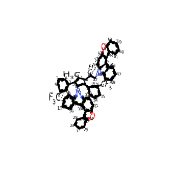 CC1=C(c2cccc(C(F)(F)F)c2)C(n2c3ccccc3c3c4c(ccc32)oc2ccccc24)=C(c2cccc(C(F)(F)F)c2)[C@@H]1[C@@H](C)Cn1c2ccccc2c2c3c(ccc21)oc1ccccc13